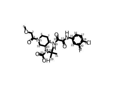 COCC(=O)N1CC[C@H](NC(=O)C(=O)Nc2ccc(Cl)c(F)c2)[C@H](N(C(=O)O)C(C)(C)C)C1